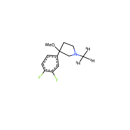 [2H]C([2H])([2H])N1CCC(OC)(c2ccc(F)c(F)c2)C1